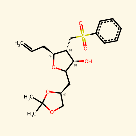 C=CC[C@@H]1OC(C[C@H]2COC(C)(C)O2)[C@H](O)[C@H]1CS(=O)(=O)c1ccccc1